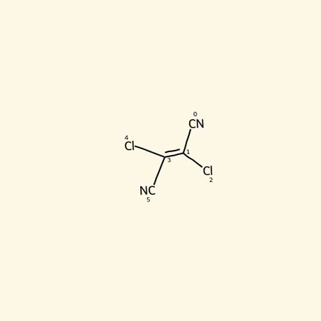 N#CC(Cl)=C(Cl)C#N